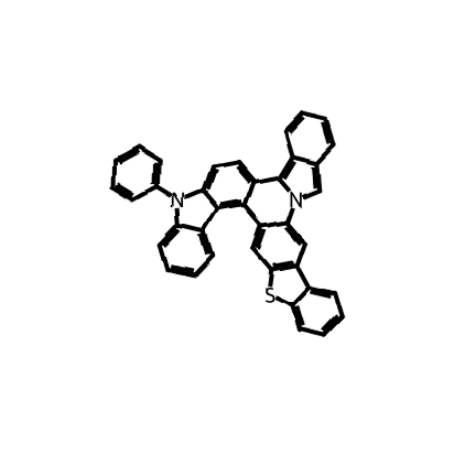 c1ccc(-n2c3ccccc3c3c4c5cc6sc7ccccc7c6cc5n5cc6ccccc6c5c4ccc32)cc1